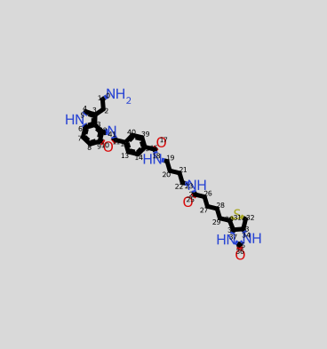 NCCc1c[nH]c2ccc3oc(-c4ccc(C(=O)NCCCCNC(=O)CCCCC5SCC6NC(=O)NC65)cc4)nc3c12